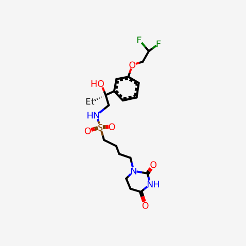 CC[C@@](O)(CNS(=O)(=O)CCCCN1CCC(=O)NC1=O)c1cccc(OCC(F)F)c1